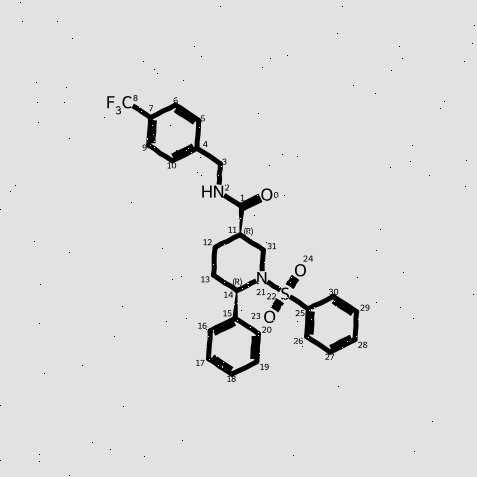 O=C(NCc1ccc(C(F)(F)F)cc1)[C@@H]1CC[C@H](c2ccccc2)N(S(=O)(=O)c2ccccc2)C1